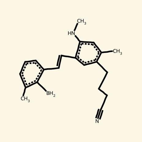 Bc1c(C)cccc1/C=C/c1cc(CCCC#N)c(C)cc1NC